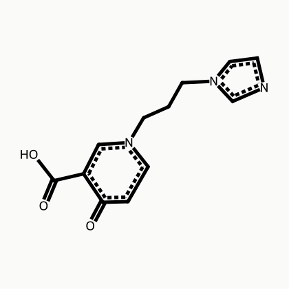 O=C(O)c1cn(CCCn2ccnc2)ccc1=O